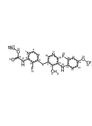 Cc1c(Cc2ccnc(NC(=O)OC(C)(C)C)c2F)cncc1Nc1ccc(OC(F)(F)F)cc1F